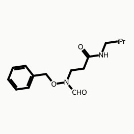 CC(C)CNC(=O)CCN(C=O)OCc1ccccc1